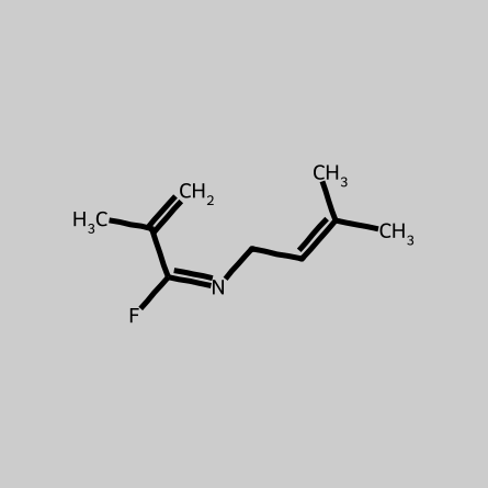 C=C(C)/C(F)=N\CC=C(C)C